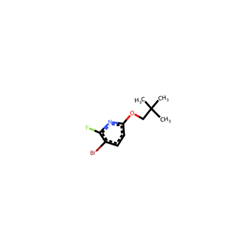 CC(C)(C)COc1ccc(Br)c(F)n1